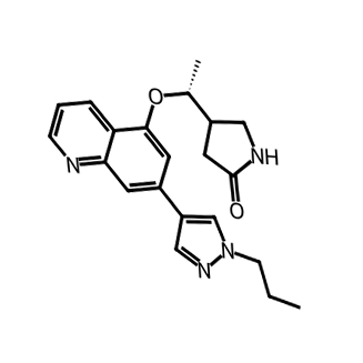 CCCn1cc(-c2cc(O[C@H](C)C3CNC(=O)C3)c3cccnc3c2)cn1